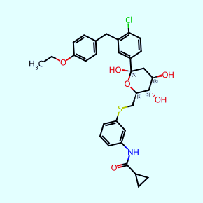 CCOc1ccc(Cc2cc([C@]3(O)C[C@@H](O)[C@H](O)[C@@H](CSc4cccc(NC(=O)C5CC5)c4)O3)ccc2Cl)cc1